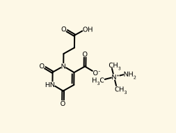 C[N+](C)(C)N.O=C(O)CCn1c(C(=O)[O-])cc(=O)[nH]c1=O